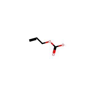 C=CCOC([O])=O